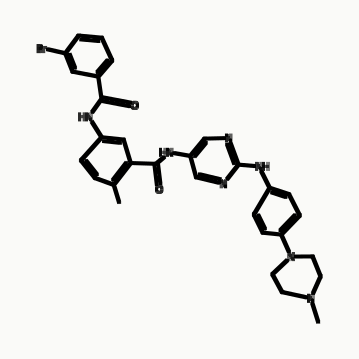 Cc1ccc(NC(=O)c2cccc(Br)c2)cc1C(=O)Nc1cnc(Nc2ccc(N3CCN(C)CC3)cc2)nc1